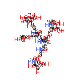 CC(=O)NC1C(OCCOCCNC(=O)CCC(NC(=O)CCC(NC(=O)CCOCCOP(C)(=O)O)C(=O)NCCOCCOC2OC(CO)C(O)C(O)C2NC(C)=O)C(=O)NCCOCCOC2OC(CO)C(O)C(O)C2NC(C)=O)OC(CO)C(O)C1O